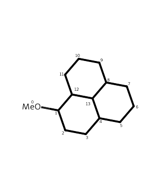 COC1CCC2CCCC3CCCC1C32